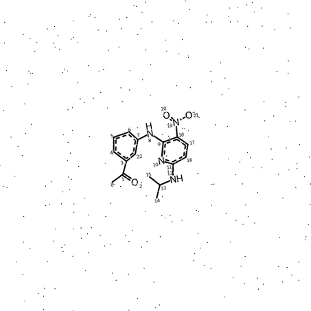 CC(=O)c1cccc(Nc2nc(NC(C)C)ccc2[N+](=O)[O-])c1